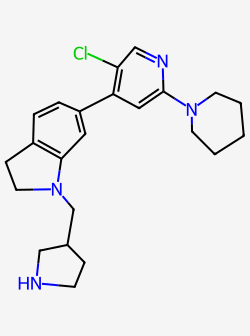 Clc1cnc(N2CCCCC2)cc1-c1ccc2c(c1)N(CC1CCNC1)CC2